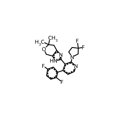 CC1(C)Cc2nc(-c3c(-c4cc(F)ccc4F)ccnc3N3CCC(F)(F)C3)[nH]c2CO1